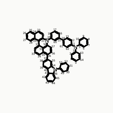 c1ccc(N(c2ccccc2)c2ccc(-c3cccc(N4c5ccc6ccccc6c5-c5cccc6c(-c7ccc8c9ccccc9n(-c9ccccc9)c8c7)ccc4c56)c3)cc2)cc1